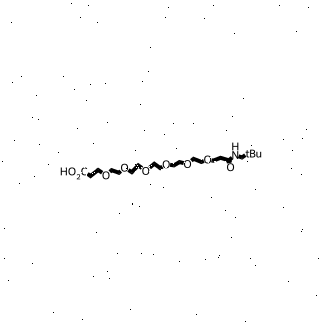 CC(C)(C)CNC(=O)CCOCCOCCOCCOCCOCCOCCC(=O)O